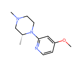 COc1ccnc(N2CCN(C)C[C@H]2C)c1